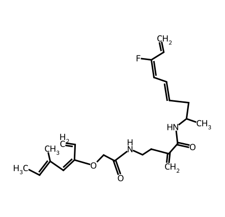 C=C/C(F)=C\C=C\CC(C)NC(=O)C(=C)CCNC(=O)CO/C(C=C)=C/C(C)=C/C